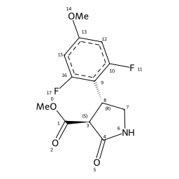 COC(=O)[C@@H]1C(=O)NC[C@H]1c1c(F)cc(OC)cc1F